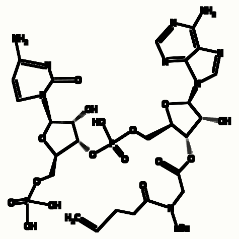 C=CCCC(=O)N(CCCC)CC(=O)O[C@H]1[C@@H](O)[C@H](n2cnc3c(N)ncnc32)O[C@@H]1COP(=O)(O)O[C@H]1[C@@H](O)[C@H](n2ccc(N)nc2=O)O[C@@H]1COP(=O)(O)O